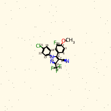 COc1ccc(-c2c(C#N)c(C(F)(F)F)nn2-c2ccc(Cl)cc2)cc1F